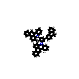 CC1(C)c2ccccc2-c2cc(-c3cc4c5c(c3)N(c3ccccc3)c3c(ccc6c3ccc3ccccc36)B5c3ccc5c(ccc6ccccc65)c3N4c3ccccc3)ccc21